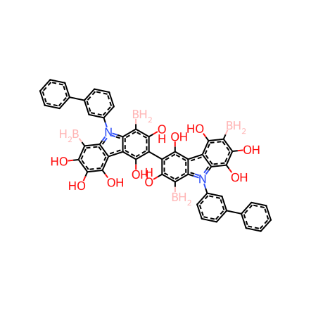 Bc1c(O)c(O)c2c(c1O)c1c(O)c(-c3c(O)c(B)c4c(c3O)c3c(O)c(O)c(O)c(B)c3n4-c3cccc(-c4ccccc4)c3)c(O)c(B)c1n2-c1cccc(-c2ccccc2)c1